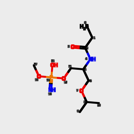 BCC(=O)NC(COC(C)C)COP(=N)(O)OC